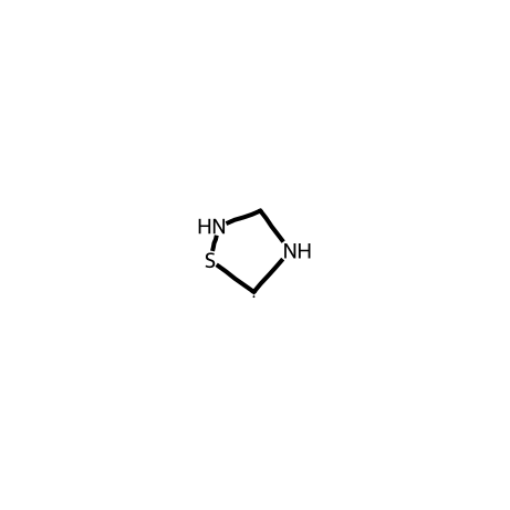 [CH]1NCNS1